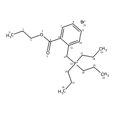 CCCOC(=O)c1ccccc1C[P+](CCC)(CCC)CCC.[Br-]